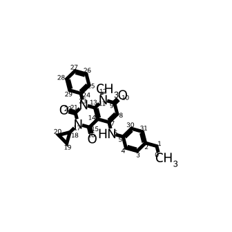 CCc1ccc(Nc2cc(=O)n(C)c3c2c(=O)n(C2CC2)c(=O)n3-c2ccccc2)cc1